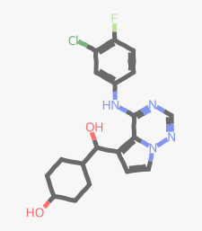 OC1CCC(C(O)c2ccn3ncnc(Nc4ccc(F)c(Cl)c4)c23)CC1